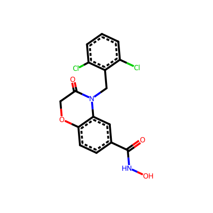 O=C(NO)c1ccc2c(c1)N(Cc1c(Cl)cccc1Cl)C(=O)CO2